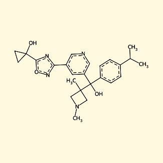 CC(C)c1ccc(C(O)(c2cncc(-c3noc(C4(O)CC4)n3)c2)C2(C)CN(C)C2)cc1